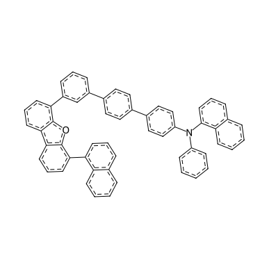 c1ccc(N(c2ccc(-c3ccc(-c4cccc(-c5cccc6c5oc5c(-c7cccc8ccccc78)cccc56)c4)cc3)cc2)c2cccc3ccccc23)cc1